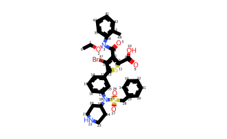 CCON(C(=O)c1c(C(=O)O)sc(-c2cccc(N(C3CCNCC3)S(=O)(=O)Cc3ccccc3)c2)c1Br)c1ccccc1C